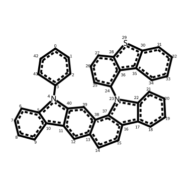 c1ccc(-n2c3ccccc3c3cc4ccc5c6ccccc6n(-c6cccc7sc8ccccc8c67)c5c4cc32)cc1